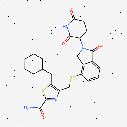 NC(=O)c1nc(CSc2cccc3c2CN(C2CCC(=O)NC2=O)C3=O)c(CC2CCCCC2)s1